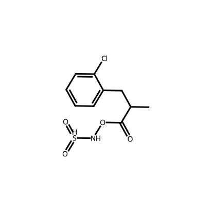 CC(Cc1ccccc1Cl)C(=O)ON[SH](=O)=O